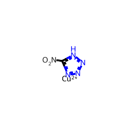 O=[N+]([O-])c1nnn[nH]1.[Cu+2]